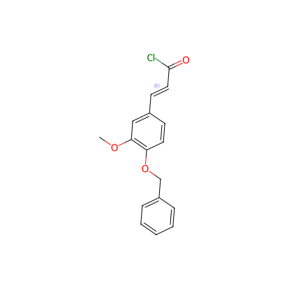 COc1cc(/C=C/C(=O)Cl)ccc1OCc1ccccc1